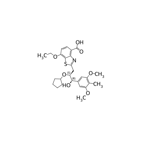 CCOc1ccc(C(=O)O)c2nc(C[C@H](OC3CCCC3)[C@H](O)c3cc(OC)c(C)c(OC)c3)sc12